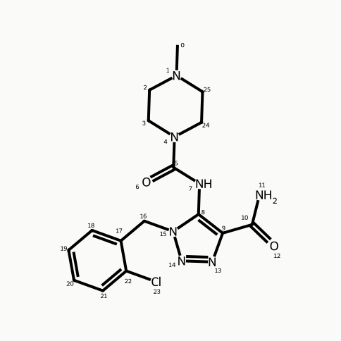 CN1CCN(C(=O)Nc2c(C(N)=O)nnn2Cc2ccccc2Cl)CC1